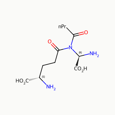 CCCC(=O)N(C(=O)CC[C@H](N)C(=O)O)[C@@H](N)C(=O)O